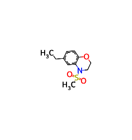 CCc1ccc2c(c1)N(S(C)(=O)=O)CCO2